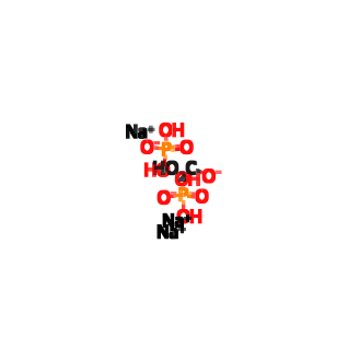 O=C([O-])O.O=P([O-])(O)O.O=P([O-])(O)O.[Na+].[Na+].[Na+]